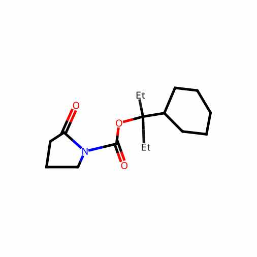 CCC(CC)(OC(=O)N1CCCC1=O)C1CCCCC1